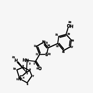 O=C(N[C@H]1CN2CCC1CC2)c1cnc(-c2cccc(O)c2)s1